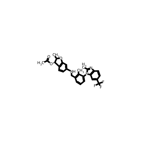 CC(=O)O[C@H]1c2ccc(NCc3cccc(-n4c(C)nc5ccc(C(F)(F)F)cc54)c3C)cc2OC1C